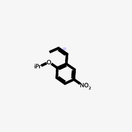 C/C=C\c1cc([N+](=O)[O-])ccc1OC(C)C